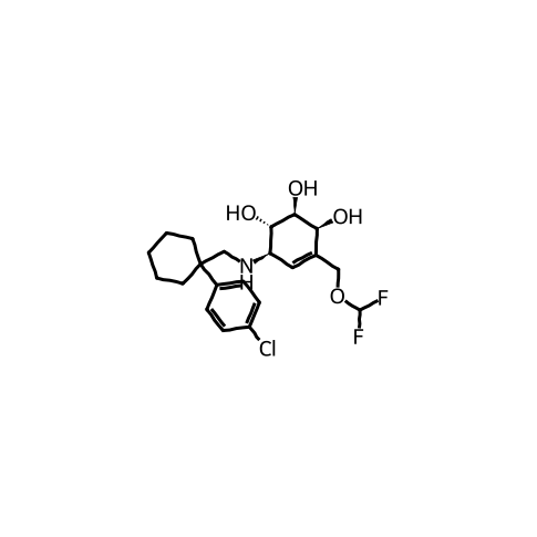 O[C@@H]1[C@@H](O)[C@@H](O)C(COC(F)F)=C[C@H]1NCC1(c2ccc(Cl)cc2)CCCCC1